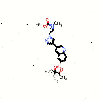 CC1OB(c2ccc3ncc(-c4cnn(CCN(C)C(=O)OC(C)(C)C)c4)cc3c2)OC1(C)C